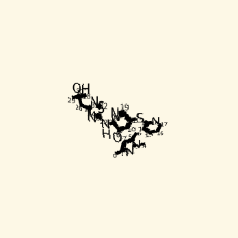 Cc1nn(C)c(C)c1Oc1cc(Sc2ccccn2)cnc1Nc1nc(CC(C)(C)O)ns1